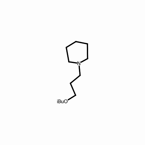 CC(C)COCCCN1CCCCC1